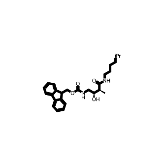 CC(C)CCCCNC(=O)[C@@H](C)[C@@H](O)CNC(=O)OCC1c2ccccc2-c2ccccc21